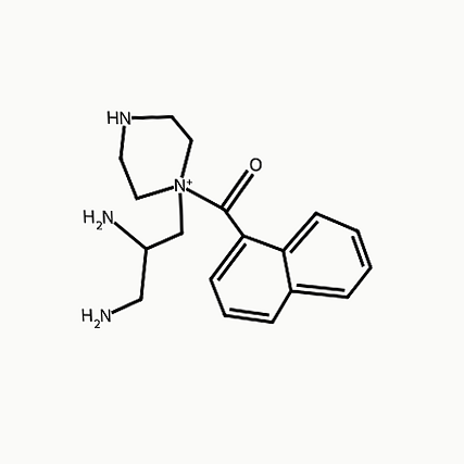 NCC(N)C[N+]1(C(=O)c2cccc3ccccc23)CCNCC1